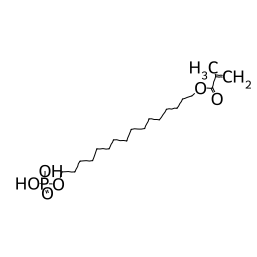 C=C(C)C(=O)OCCCCCCCCCCCCCCCCOP(=O)(O)O